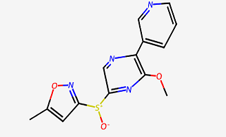 COc1nc([S+]([O-])c2cc(C)on2)cnc1-c1cccnc1